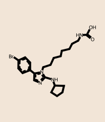 O=C(O)NCCCCCCCCn1c(-c2ccc(Br)cc2)cnc1NC1CCCC1